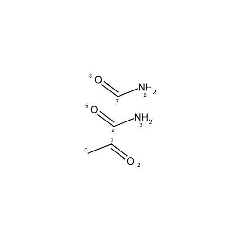 CC=O.NC=O.NC=O